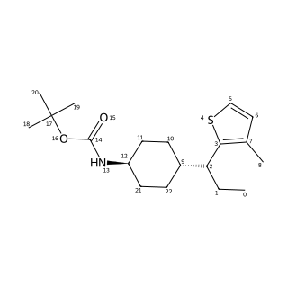 CCC(c1sccc1C)[C@H]1CC[C@H](NC(=O)OC(C)(C)C)CC1